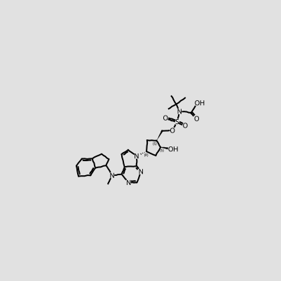 CN(c1ncnc2c1ccn2[C@@H]1C[C@@H](COS(=O)(=O)N(C(=O)O)C(C)(C)C)[C@@H](O)C1)C1CCc2ccccc21